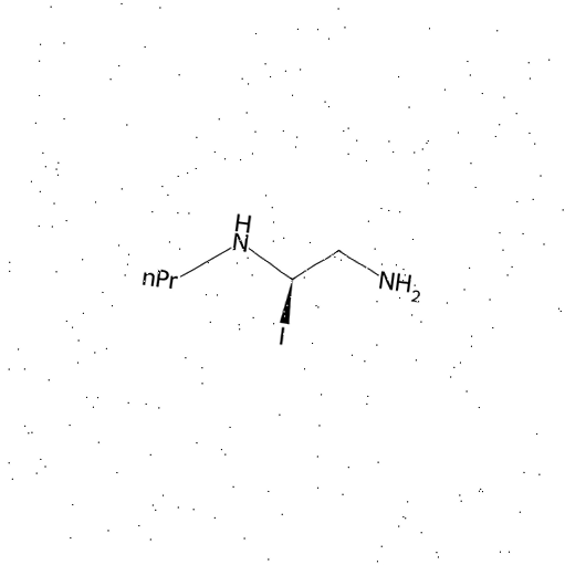 CCCN[C@H](I)CN